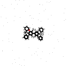 O=P(c1ccccc1)(c1c(F)c(F)c(-c2c(F)c(F)c(P(=O)(c3ccccc3)C3CCCCC3)c(F)c2F)c(F)c1F)C1CCCCC1